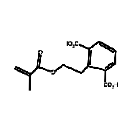 C=C(C)C(=O)OCCc1c(C(=O)O)cccc1C(=O)O